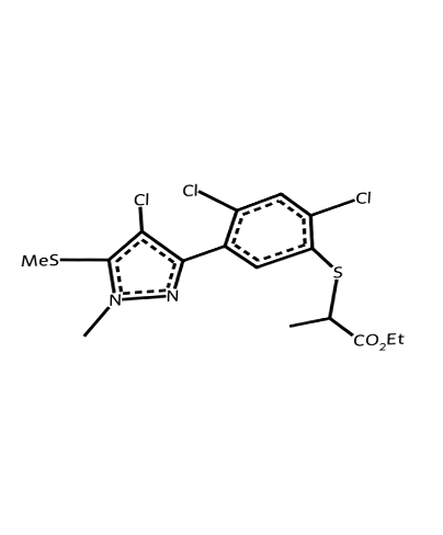 CCOC(=O)C(C)Sc1cc(-c2nn(C)c(SC)c2Cl)c(Cl)cc1Cl